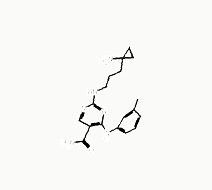 Cc1cccc(Nc2nc(NCCCC3(N)CC3)ncc2C(N)=O)c1